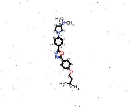 CC(C)CCOc1ccc(-c2nnc(-c3ccc(N4CCC(N(C)C)C4)cc3)o2)cc1